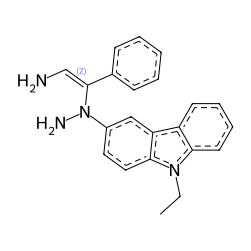 CCn1c2ccccc2c2cc(N(N)/C(=C\N)c3ccccc3)ccc21